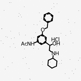 CC(=O)Nc1cc(OCc2ccccc2)cc(C(O)CNC2CCCCC2)c1.Cl